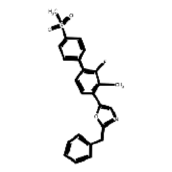 Cc1c(-c2cnc(Cc3ccccc3)o2)ccc(-c2ccc(S(C)(=O)=O)cc2)c1F